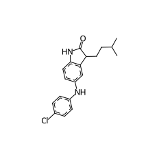 CC(C)CCC1C(=O)Nc2ccc(Nc3ccc(Cl)cc3)cc21